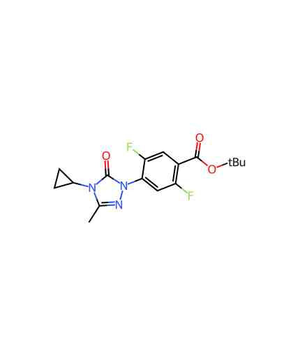 Cc1nn(-c2cc(F)c(C(=O)OC(C)(C)C)cc2F)c(=O)n1C1CC1